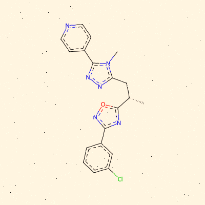 C[C@@H](Cc1nnc(-c2ccncc2)n1C)c1nc(-c2cccc(Cl)c2)no1